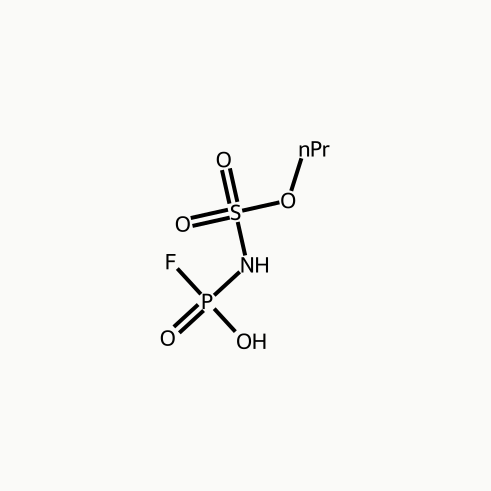 CCCOS(=O)(=O)NP(=O)(O)F